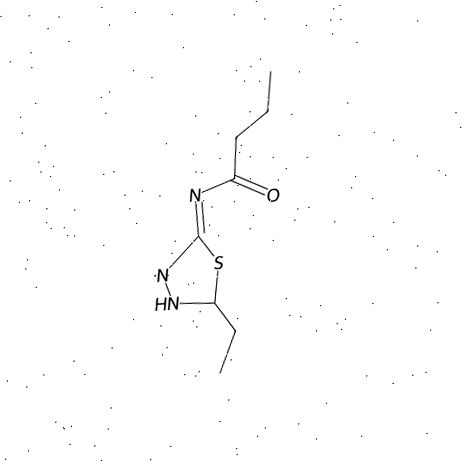 CCCC(=O)N=C1[N]NC(CC)S1